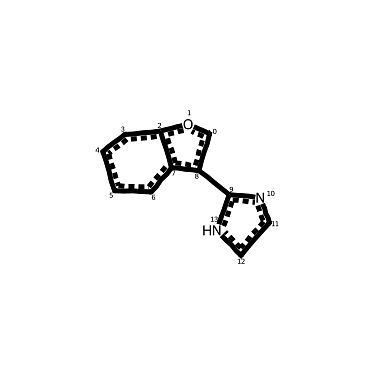 [c]1oc2ccccc2c1-c1ncc[nH]1